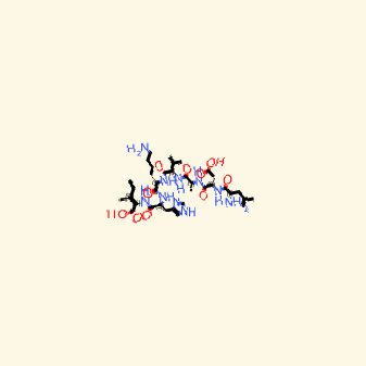 CC[C@H](C)[C@H](NC(=O)[C@H](Cc1c[nH]cn1)NC(=O)[C@H](CCCCN)NC(=O)[C@@H](NC(=O)[C@H](C)NC(=O)[C@H](CC(=O)O)NC(=O)[C@@H](N)CC(C)C)C(C)C)C(=O)O